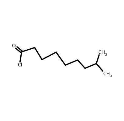 CC(C)CCCCCCC(=O)Cl